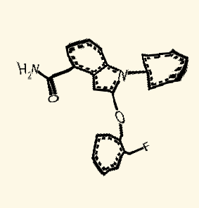 NC(=O)c1cccc2c1cc(Oc1ccccc1F)n2-c1ccccc1